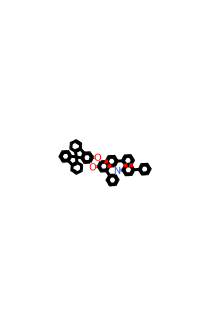 C1=CC2=C(CC1)C1(C3=C(C=CCC3)c3cc4c(cc31)Oc1cc(-c3ccccc3N(c3ccc(-c5ccccc5)cc3)c3ccccc3-c3ccccc3)ccc1O4)c1ccccc12